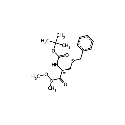 CON(C)C(=O)[C@H](CSCc1ccccc1)NC(=O)OC(C)(C)C